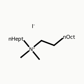 CCCCCCCCCC[N+](C)(C)CCCCCCC.[I-]